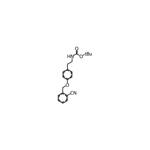 CC(C)(C)OC(=O)NCCc1ccc(OCc2ccccc2C#N)cc1